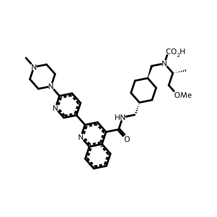 COC[C@@H](C)N(C[C@H]1CC[C@H](CNC(=O)c2cc(-c3ccc(N4CCN(C)CC4)nc3)nc3ccccc23)CC1)C(=O)O